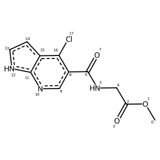 COC(=O)CNC(=O)c1cnc2[nH]ccc2c1Cl